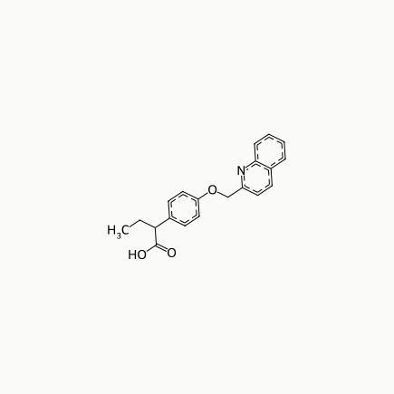 CCC(C(=O)O)c1ccc(OCc2ccc3ccccc3n2)cc1